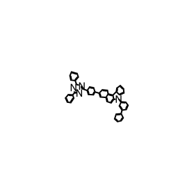 c1ccc(-c2cccc(-n3c4ccccc4c4c5ccc(-c6ccc(-c7nc(-c8ccccc8)nc(-c8ccccc8)n7)cc6)cc5ccc43)c2)cc1